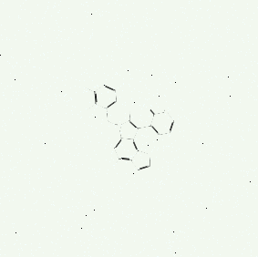 Cc1cccc(Cn2c(C(=O)O)c(-c3ccc[nH]c3=O)c3c4occc4c(F)cc32)c1C